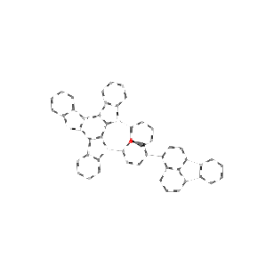 c1ccc(-n2c3ccccc3c3c4c5ccccc5oc4c4c5ccccc5n(-c5ccc(-c6ccc7c8c(cccc68)-c6ccccc6-7)cc5)c4c32)cc1